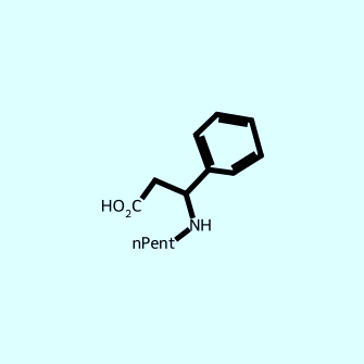 CCCCCNC(CC(=O)O)c1ccccc1